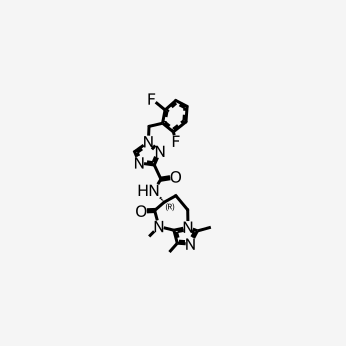 Cc1nc(C)n2c1N(C)C(=O)[C@H](NC(=O)c1ncn(Cc3c(F)cccc3F)n1)CC2